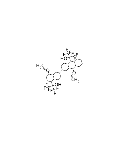 C=COC1CCC(C(O)(C(F)(F)F)C(F)(F)F)C2CCC(C3CCC4C(C3)C(OC=C)C3CCCCC3C4C(O)(C(F)(F)F)C(F)(F)F)CC12